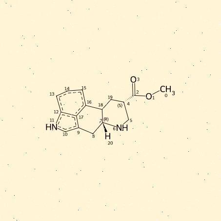 COC(=O)[C@@H]1CN[C@@H]2Cc3c[nH]c4cccc(c34)C2C1